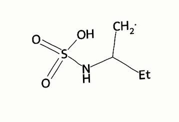 [CH2]C(CC)NS(=O)(=O)O